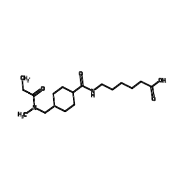 [CH2]CC(=O)N(C)CC1CCC(C(=O)NCCCCCC(=O)O)CC1